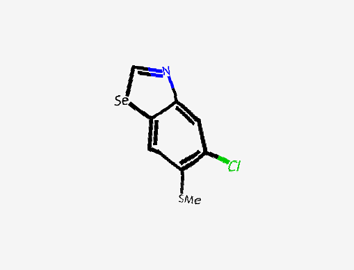 CSc1cc2[se]cnc2cc1Cl